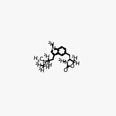 [2H]N1C(=O)OC([2H])([2H])[C@@H]1Cc1ccc2c(c1)c(CC([2H])([2H])N(C)C([2H])([2H])[2H])cn2[2H]